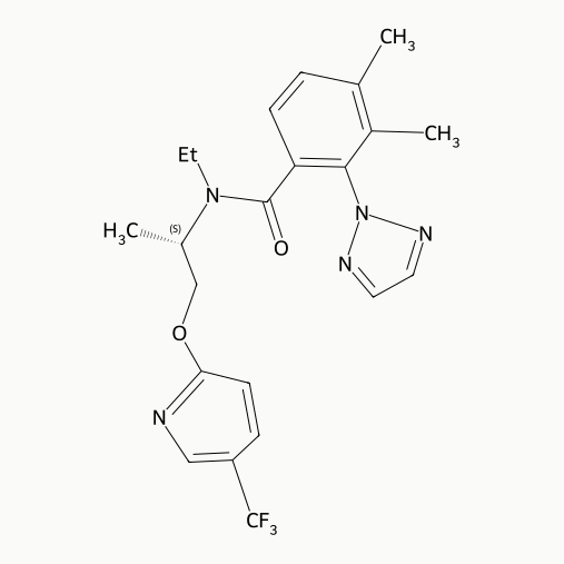 CCN(C(=O)c1ccc(C)c(C)c1-n1nccn1)[C@@H](C)COc1ccc(C(F)(F)F)cn1